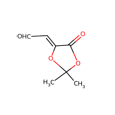 CC1(C)OC(=O)/C(=C/[C]=O)O1